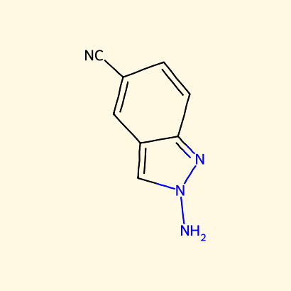 N#Cc1ccc2nn(N)cc2c1